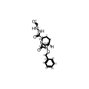 O=CNNC(=O)[C@H]1CC[C@@H]2CN1C(=O)N2OCc1ccccc1